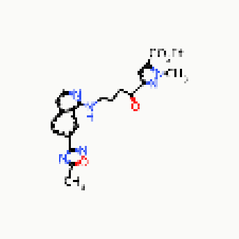 CCOC(=O)c1cc(C(=O)CCCNc2nccc3ccc(-c4noc(C)n4)cc23)nn1C